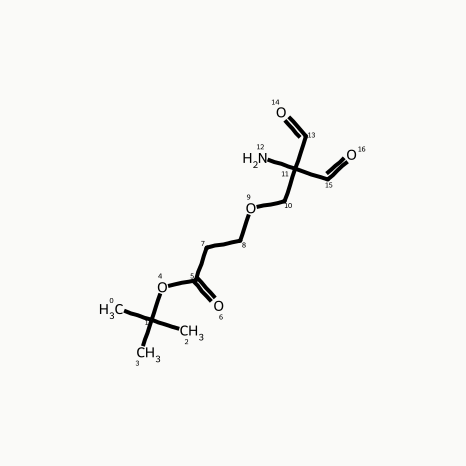 CC(C)(C)OC(=O)CCOCC(N)(C=O)C=O